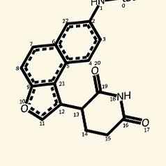 CC(C)(C)Nc1ccc2c(ccc3occ(C4CCC(=O)NC4=O)c32)c1